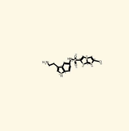 NCCc1c[nH]c2ccc(NS(=O)(=O)c3cn4cc(Cl)nc4s3)cc12